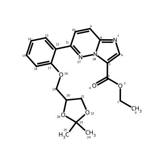 CCOC(=O)c1cnc2ccc(-c3ccccc3OCC3COC(C)(C)O3)nn12